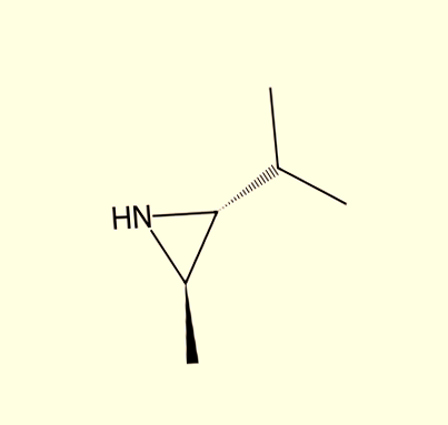 CC(C)[C@H]1N[C@@H]1C